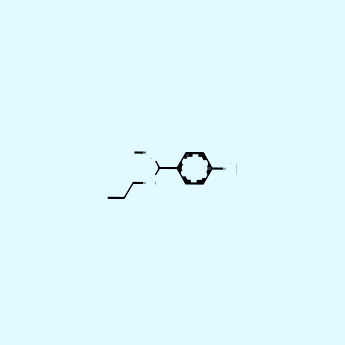 CCCOC(OC)c1ccc(Cl)cc1